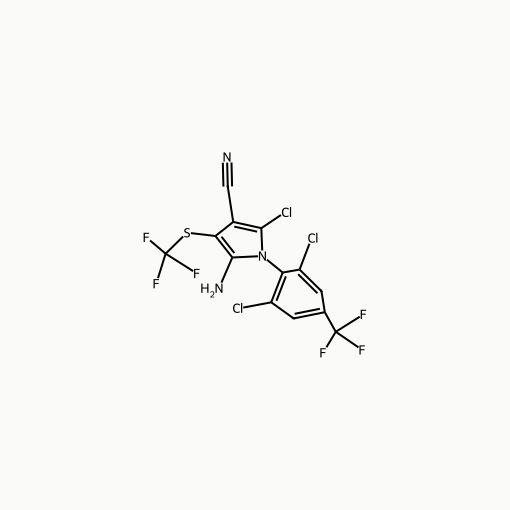 N#Cc1c(SC(F)(F)F)c(N)n(-c2c(Cl)cc(C(F)(F)F)cc2Cl)c1Cl